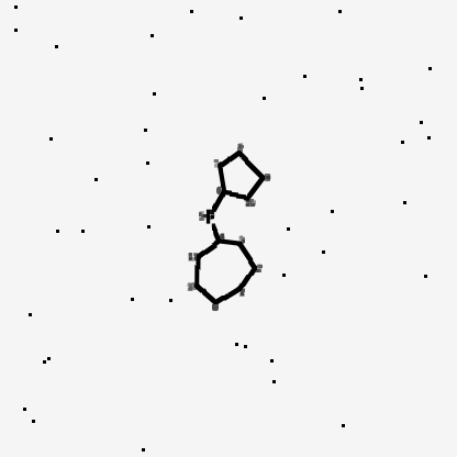 C1CCCC([P]C2CCCC2)CC1